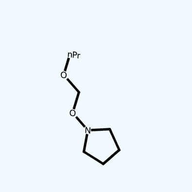 CCCOCON1CCCC1